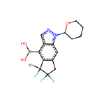 CCC1(F)c2c(cc3c(cnn3C3CCCCO3)c2B(O)O)CC1(F)F